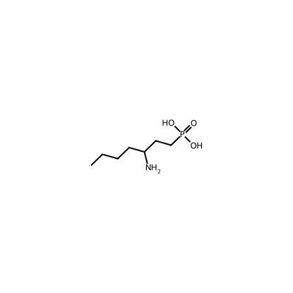 CCCCC(N)CCP(=O)(O)O